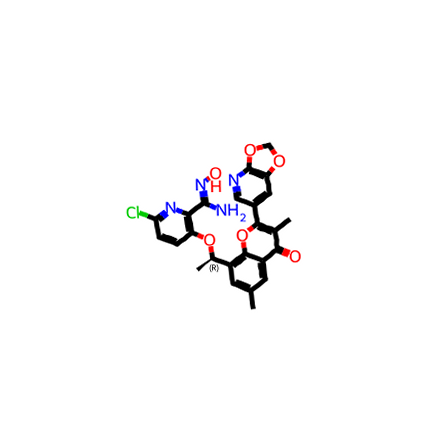 Cc1cc([C@@H](C)Oc2ccc(Cl)nc2C(N)=NO)c2oc(-c3cnc4c(c3)OCO4)c(C)c(=O)c2c1